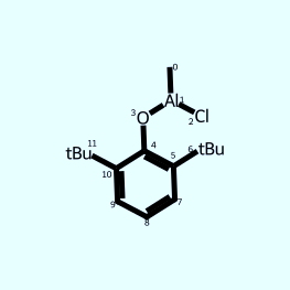 [CH3][Al]([Cl])[O]c1c(C(C)(C)C)cccc1C(C)(C)C